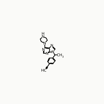 C#Cc1ccc(C(C)n2cnc3c(N4CCNCC4)ncnc32)cc1